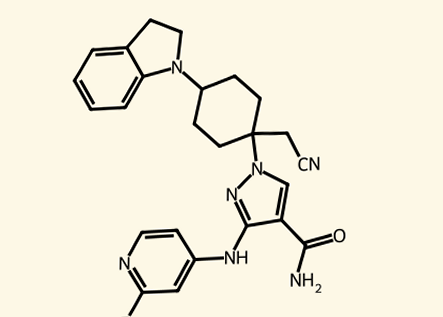 N#CCC1(n2cc(C(N)=O)c(Nc3ccnc(F)c3)n2)CCC(N2CCc3ccccc32)CC1